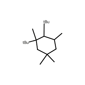 CC1CC(C)(C)CC(C)(C(C)(C)C)C1C(C)(C)C